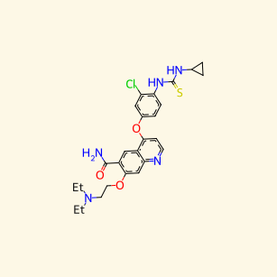 CCN(CC)CCOc1cc2nccc(Oc3ccc(NC(=S)NC4CC4)c(Cl)c3)c2cc1C(N)=O